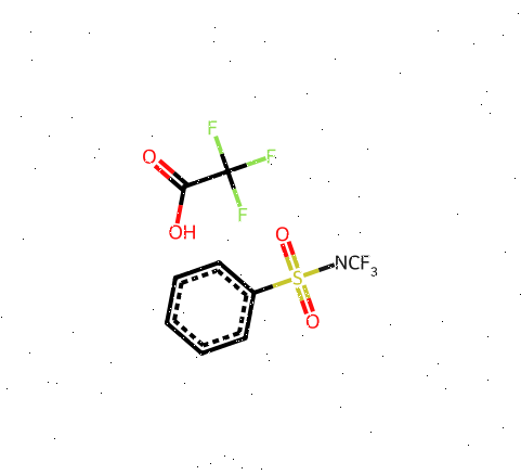 O=C(O)C(F)(F)F.O=S(=O)(NC(F)(F)F)c1ccccc1